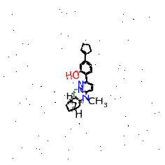 CN(c1ccc(-c2ccc(C3=CCCC3)cc2O)nn1)[C@H]1C[C@@H]2CC[C@@H](C2)[C@H]1F